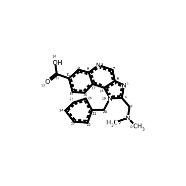 CN(C)Cc1nc2cnc3cc(C(=O)O)ccc3c2n1Cc1ccccc1